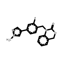 Cn1cc(-c2ccc(CN3C(=O)OCc4ccccc43)c(F)c2)cn1